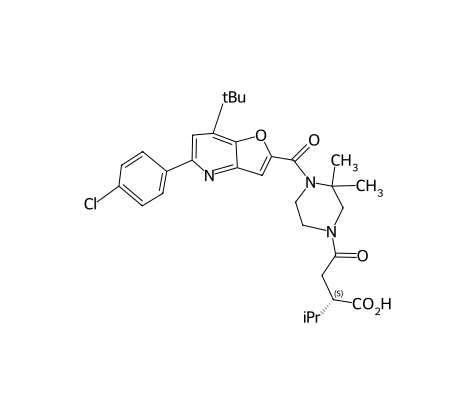 CC(C)[C@H](CC(=O)N1CCN(C(=O)c2cc3nc(-c4ccc(Cl)cc4)cc(C(C)(C)C)c3o2)C(C)(C)C1)C(=O)O